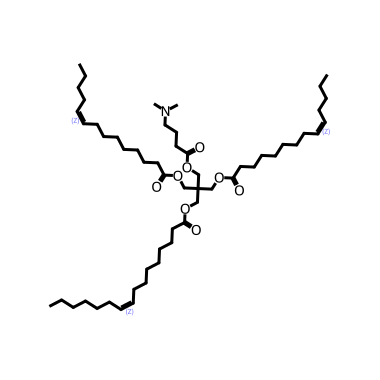 CCCC/C=C\CCCCCCCC(=O)OCC(COC(=O)CCCCCCC/C=C\CCCC)(COC(=O)CCCCCCC/C=C\CCCCCC)COC(=O)CCCN(C)C